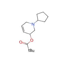 CC(C)(C)C(=O)OC1C=CCN(C2CCCC2)C1